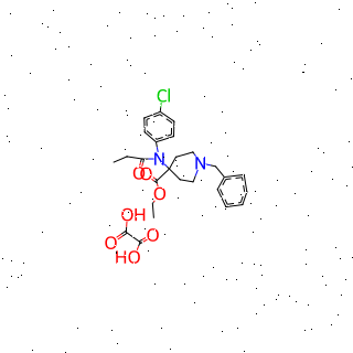 CCOC(=O)C1(N(C(=O)CC)c2ccc(Cl)cc2)CCN(Cc2ccccc2)CC1.O=C(O)C(=O)O